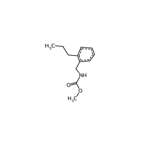 CCCc1ccccc1CNC(=O)OC